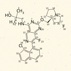 CC(C)(O)CNc1nc(OC[C@@]23CCCN2C[C@H](F)C3)nc2c(F)c(-c3cccc4cccc(Cl)c34)ncc12